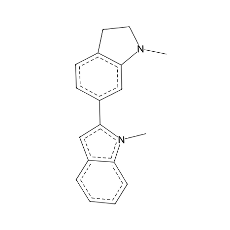 CN1CCc2ccc(-c3cc4ccccc4n3C)cc21